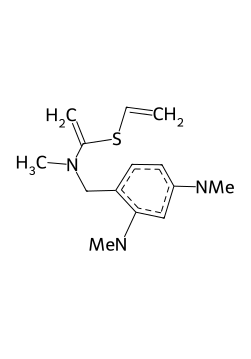 C=CSC(=C)N(C)Cc1ccc(NC)cc1NC